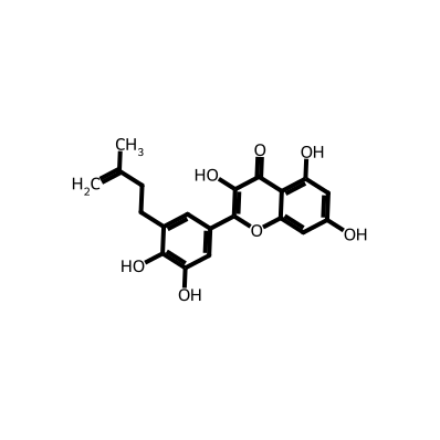 C=C(C)CCc1cc(-c2oc3cc(O)cc(O)c3c(=O)c2O)cc(O)c1O